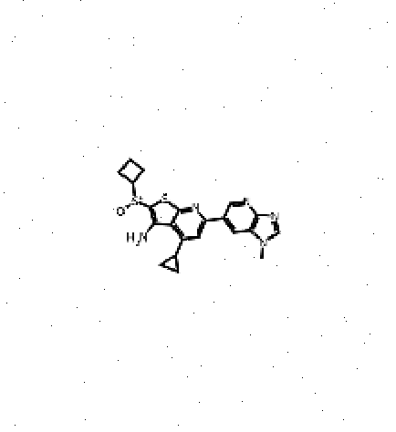 Cn1cnc2ncc(-c3cc(C4CC4)c4c(N)c([S@@+]([O-])C5CCC5)sc4n3)cc21